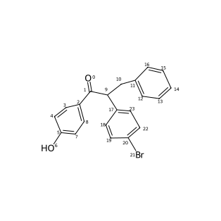 O=C(c1ccc(O)cc1)C(Cc1ccccc1)c1ccc(Br)cc1